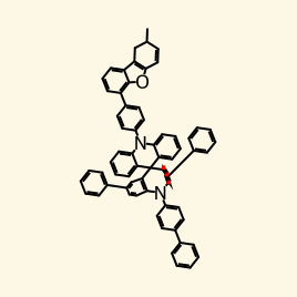 CC1C=Cc2oc3c(-c4ccc(N5c6ccccc6C6(c7ccccc75)c5cc(-c7ccccc7)ccc5N(c5ccc(-c7ccccc7)cc5)c5ccc(-c7ccccc7)cc56)cc4)cccc3c2C1